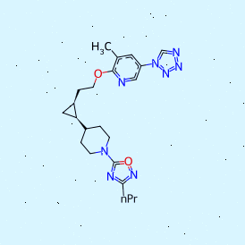 CCCc1noc(N2CCC([C@H]3C[C@H]3CCOc3ncc(-n4cnnn4)cc3C)CC2)n1